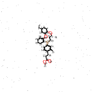 CCc1ccc(O[C@H](C)CCSc2ccc(CCC(=O)OC)c(C)c2)c(Oc2ccccc2)c1